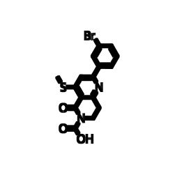 CSc1cc(-c2cccc(Br)c2)nc2c1C(=O)N(C(=O)O)CC2